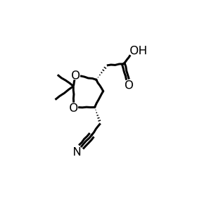 CC1(C)O[C@H](CC(=O)O)C[C@H](CC#N)O1